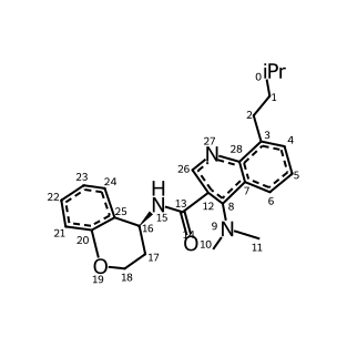 CC(C)CCc1cccc2c(N(C)C)c(C(=O)N[C@H]3CCOc4ccccc43)cnc12